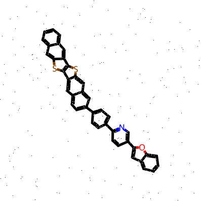 c1ccc2cc3c(cc2c1)sc1c2cc4ccc(-c5ccc(-c6ccc(-c7cc8ccccc8o7)cn6)cc5)cc4cc2sc31